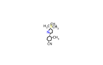 Cc1cc(C#N)ccc1-c1ccc(S(C)(C)C)cn1